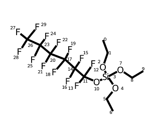 CCO[Si](OCC)(OCC)OC(F)(F)C(F)(F)C(F)(F)C(F)(F)C(F)(F)C(F)(F)F